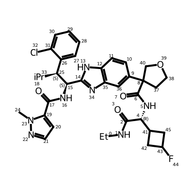 CCNC(=O)[C@H](NC(=O)C1(c2ccc3[nH]c([C@@H](NC(=O)c4ccnn4C)[C@H](c4ccccc4Cl)C(C)C)nc3c2)CCOC1)C1CC(F)C1